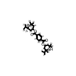 CC(C)C1(C)CC(OC(=O)c2ccc(C(=O)OC3CC(C)(C)N[C@](C)(C(C)C)C3)cc2)CC(C)(C)N1